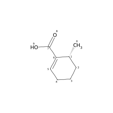 C[C@@H]1CCCC=C1C(=O)O